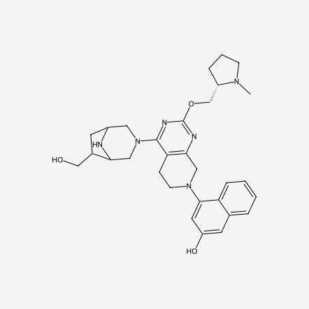 CN1CCC[C@H]1COc1nc2c(c(N3CC4CC(CO)C(C3)N4)n1)CCN(c1cc(O)cc3ccccc13)C2